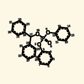 O=P(Oc1ccccc1)(Oc1ccccc1)OC(c1ccccc1)c1ccccc1